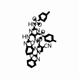 Cc1ccc(S(=O)(=O)Nc2nc(Nc3nc4ccccc4o3)c(N=Nc3nn(-c4nc5ccccc5o4)cc3C#N)c(S(=O)(=O)c3ccc(C)cc3)n2)cc1